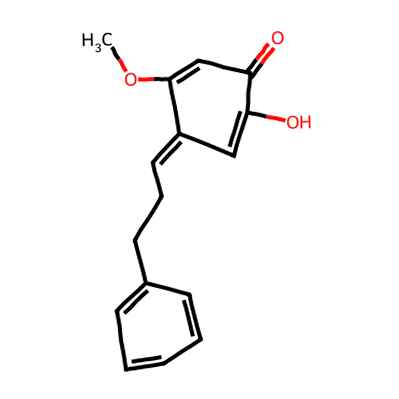 COC1=CC(=O)C(O)=C/C1=C\CCc1ccccc1